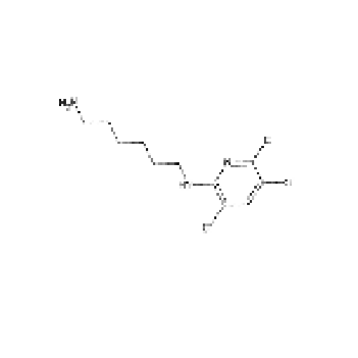 NCCCCCCNc1nc(Cl)c(Cl)cc1Cl